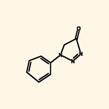 O=C1CN(c2ccccc2)N=N1